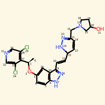 C[C@@H](Oc1ccc2[nH]nc(/C=C/C3C=CC(CN4CCC(O)C4)=NN3)c2c1)c1c(Cl)cncc1Cl